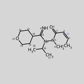 C/C=C\C(=O)N(C)N(C(=N)C1CCOCC1)C(C)C